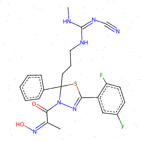 CN/C(=N/C#N)NCCCC1(c2ccccc2)SC(c2cc(F)ccc2F)=NN1C(=O)/C(C)=N\O